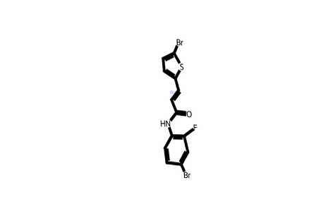 O=C(/C=C/c1ccc(Br)s1)Nc1ccc(Br)cc1F